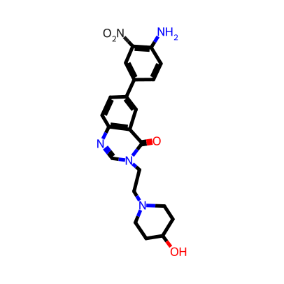 Nc1ccc(-c2ccc3ncn(CCN4CCC(O)CC4)c(=O)c3c2)cc1[N+](=O)[O-]